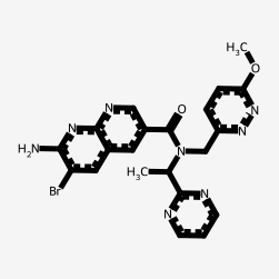 COc1ccc(CN(C(=O)c2cnc3nc(N)c(Br)cc3c2)C(C)c2ncccn2)nn1